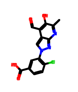 Cc1nc2nn(-c3cc(C(=O)O)ccc3Cl)cc2c(C=O)c1O